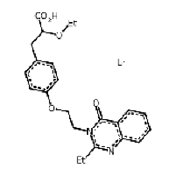 CCOC(Cc1ccc(OCCn2c(CC)nc3ccccc3c2=O)cc1)C(=O)O.[Li]